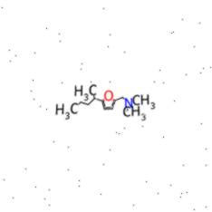 CCCC(C)c1ccc(CN(C)C)o1